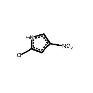 O=[N+]([O-])c1c[nH]c(Cl)c1